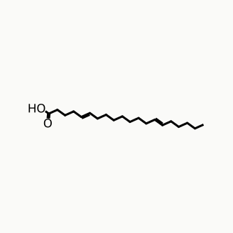 CCCCCC=CCCCCCCCC=CCCCC(=O)O